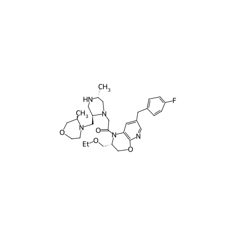 CCOC[C@H]1COc2ncc(Cc3ccc(F)cc3)cc2N1C(=O)CN1C[C@@H](C)NC[C@@H]1CN1CCOC[C@H]1C